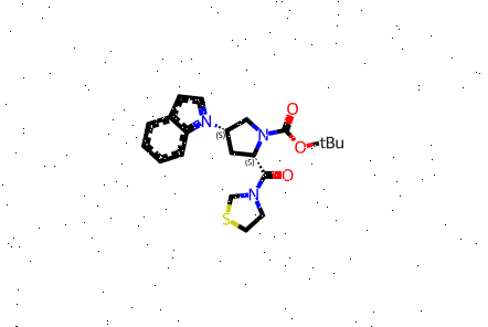 CC(C)(C)OC(=O)N1C[C@@H](n2ccc3ccccc32)C[C@H]1C(=O)N1CCSC1